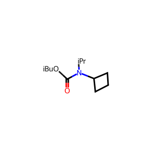 CC(C)COC(=O)N(C(C)C)C1CCC1